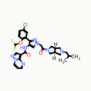 CC(C)CN1C[C@@H]2CN(C(=O)Cn3cc(NC(=O)c4cnn5cccnc45)c(-c4cc(Cl)ccc4OC(F)F)n3)C[C@@H]2C1